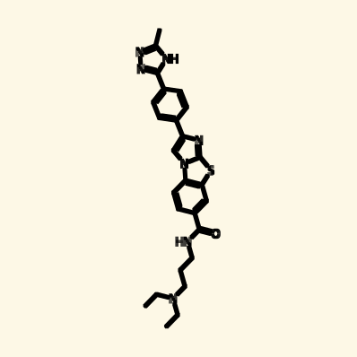 CCN(CC)CCCNC(=O)c1ccc2c(c1)sc1nc(-c3ccc(-c4nnc(C)[nH]4)cc3)cn12